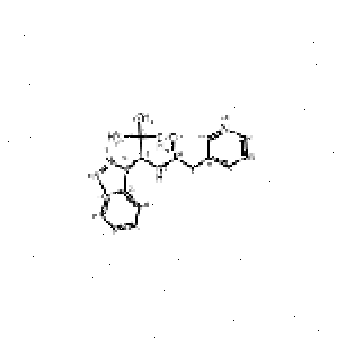 CC(C)(C)C(NC(=O)Cc1cccnc1)n1nnc2ccccc21